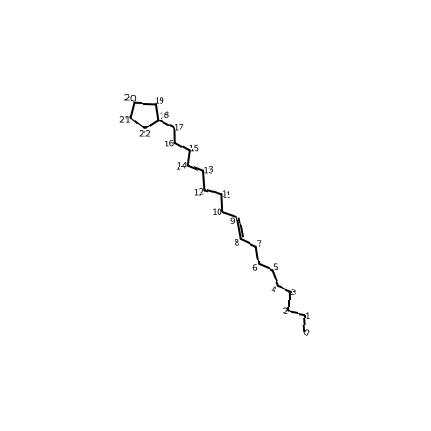 CCCCCCCCC=CCCCCCCCCC1CCCC1